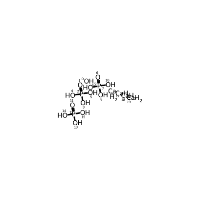 O.O=P(O)(O)O.O=P(O)(O)O.O=P(O)(O)O.[CaH2].[CaH2].[CaH2].[CaH2]